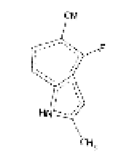 Cc1cc2c(F)c(C#N)ccc2[nH]1